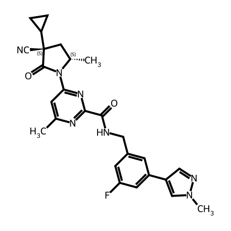 Cc1cc(N2C(=O)[C@](C#N)(C3CC3)C[C@@H]2C)nc(C(=O)NCc2cc(F)cc(-c3cnn(C)c3)c2)n1